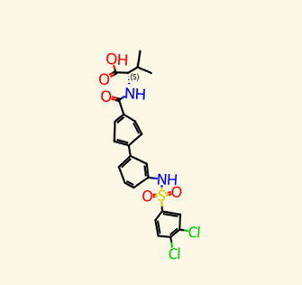 CC(C)[C@H](NC(=O)c1ccc(-c2cccc(NS(=O)(=O)c3ccc(Cl)c(Cl)c3)c2)cc1)C(=O)O